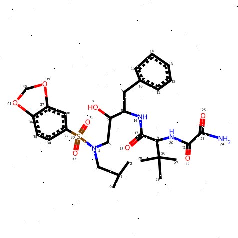 CC(C)CN(CC(O)C(Cc1ccccc1)NC(=O)C(NC(=O)C(N)=O)C(C)(C)C)S(=O)(=O)c1ccc2c(c1)OCO2